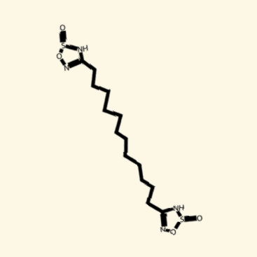 O=S1NC(CCCCCCCCCCCCC2=NOS(=O)N2)=NO1